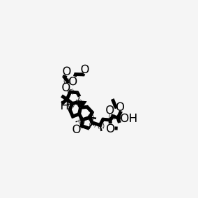 COC(C[C@@H](C)[C@H]1CC(=O)[C@@]2(C)C3CC[C@H]4C(C)(C)[C@@H](O[C@@H](C=O)OCC=O)CC[C@@]45CC35CC[C@]12C)[C@H](OC(C)=O)C(C)(C)O